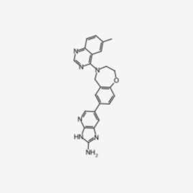 Cc1ccc2ncnc(N3CCOc4ccc(-c5cnc6[nH]c(N)nc6c5)cc4C3)c2c1